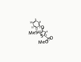 COC(=O)c1cc(Oc2ccccc2)c(SC)s1